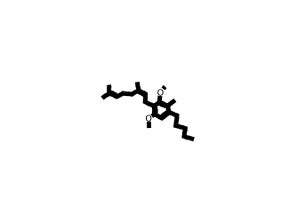 CCCCCc1cc(OC)c(CC=C(C)CCC=C(C)C)c(OC)c1C